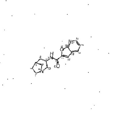 O=C(NC1CC2CCN(C2)C1)c1cc2cccnc2o1